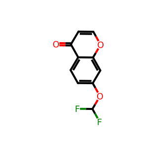 O=c1ccoc2cc(OC(F)F)ccc12